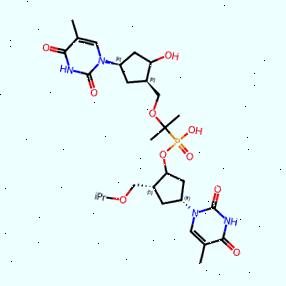 Cc1cn([C@H]2CC(O)[C@@H](COC(C)(C)P(=O)(O)OC3C[C@H](n4cc(C)c(=O)[nH]c4=O)C[C@@H]3COC(C)C)C2)c(=O)[nH]c1=O